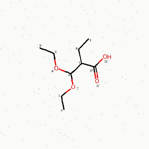 CCOC(OCC)C(CC)C(=O)O